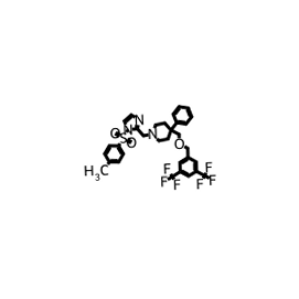 Cc1ccc(S(=O)(=O)n2ccnc2CN2CCC(COCc3cc(C(F)(F)F)cc(C(F)(F)F)c3)(c3ccccc3)CC2)cc1